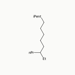 CCCC(C)CCCCCC(CC)CCC